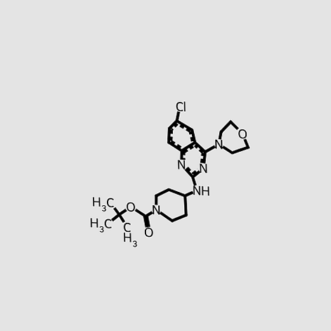 CC(C)(C)OC(=O)N1CCC(Nc2nc(N3CCOCC3)c3cc(Cl)ccc3n2)CC1